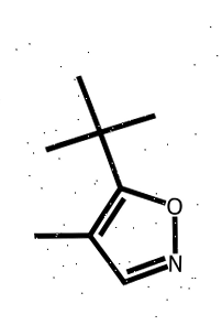 Cc1cnoc1C(C)(C)C